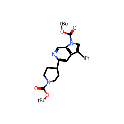 CC(C)c1cn(C(=O)OC(C)(C)C)c2cnc(C3CCN(C(=O)OC(C)(C)C)CC3)cc12